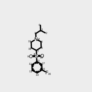 C[C](C)CN1CCC(S(=O)(=O)c2cccc(F)c2)CC1